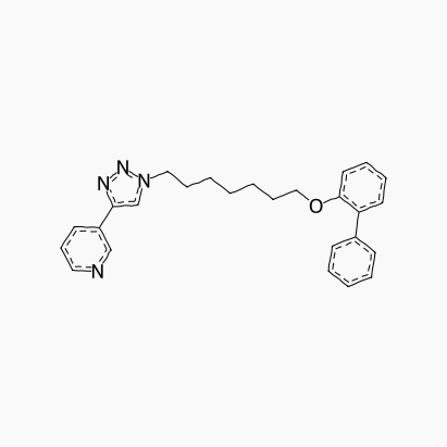 c1ccc(-c2ccccc2OCCCCCCCn2cc(-c3cccnc3)nn2)cc1